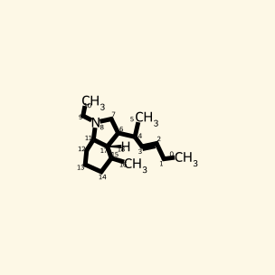 CCC=CC(C)C1CN(CC)C2CCCC(C)[C@@H]12